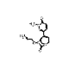 C=CCON1C(=O)N2CC=C(c3ccc(=O)n(C)n3)C1C2